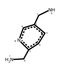 [NH]Cc1ccc(CN)nc1